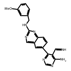 COc1cccc(CNc2ncc3cc(-c4ncnc(N)c4C=N)ccc3n2)c1